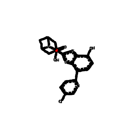 O=C(O)N1C2CC1CN(c1nc3c(O)ccc(-c4ccc(Cl)cn4)c3o1)C2